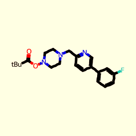 CC(C)(C)C(=O)ON1CCN(Cc2ccc(-c3cccc(F)c3)cn2)CC1